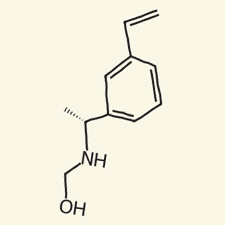 C=Cc1cccc([C@@H](C)NCO)c1